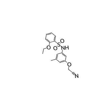 CCOc1ccccc1S(=O)(=O)Nc1cc(C)cc(OCC#N)c1